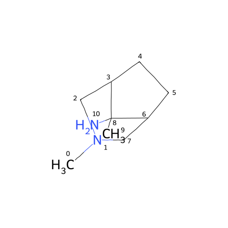 CN1CC2CCC(C1)C2(C)N